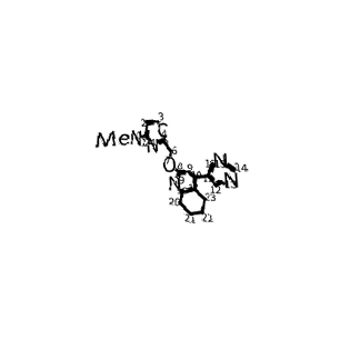 CNc1cccc(COc2cc(-c3cncnc3)c3c(n2)CCCC3)n1